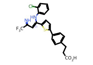 N=C(/C=C(\Nc1ccccc1Cl)c1ccc(-c2ccc(CCC(=O)O)cc2)s1)C(F)(F)F